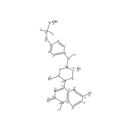 CCC1CN(C(C)c2ccc(OC(C)(C)CO)cc2)[C@H](CC)CN1c1nc(=O)n(C)c2ccc(Cl)nc12